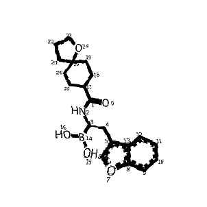 O=C(N[C@@H](Cc1coc2ccccc12)B(O)O)C1CCC2(CCCO2)CC1